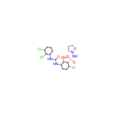 O=C(Nc1ccc(Cl)c(S(=O)(=O)NN2CCCO2)c1O)Nc1cccc(Cl)c1Cl